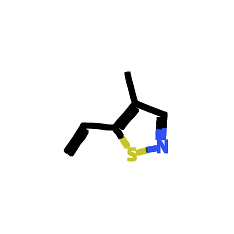 C=Cc1sncc1C